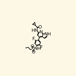 CCCS(=O)(=O)Nc1cc(F)c(-c2cc(NC(=O)C3CC3)nc3[nH]ccc23)cc1F